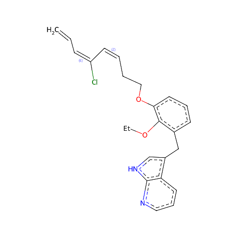 C=C/C=C(Cl)\C=C/CCOc1cccc(Cc2c[nH]c3ncccc23)c1OCC